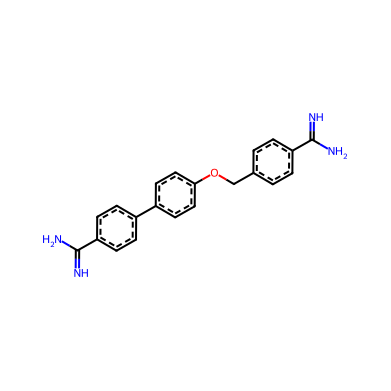 N=C(N)c1ccc(COc2ccc(-c3ccc(C(=N)N)cc3)cc2)cc1